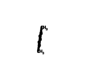 CCCCCCOCCOCCOCCOCCOCCCCCC